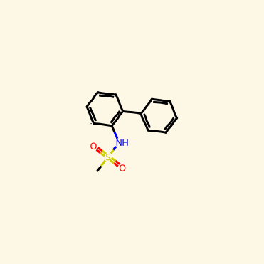 CS(=O)(=O)Nc1[c]cccc1-c1ccccc1